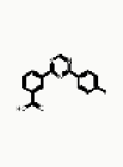 Cc1ccc(-c2ncnc(-c3cccc(C(=O)O)c3)n2)cc1